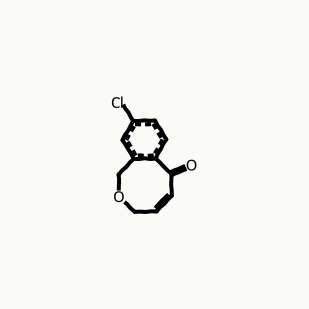 O=C1C=CCOCc2cc(Cl)ccc21